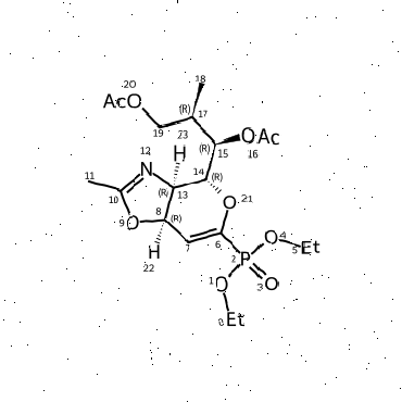 CCOP(=O)(OCC)C1=C[C@H]2OC(C)=N[C@H]2[C@H]([C@H](OC(C)=O)[C@H](C)COC(C)=O)O1